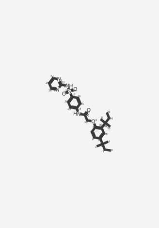 CCC(C)(C)c1ccc(OCC(=O)Nc2ccc(S(=O)(=O)Nc3ncccn3)cc2)c(C(C)(C)CC)c1